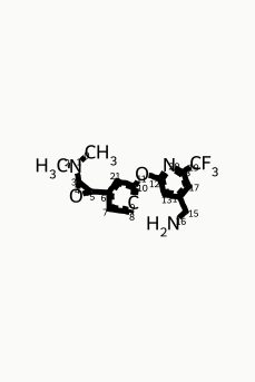 CN(C)C1OC1c1cccc(Oc2cc(CN)cc(C(F)(F)F)n2)c1